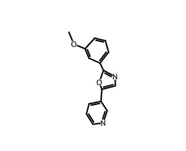 COc1cccc(-c2ncc(-c3cccnc3)o2)c1